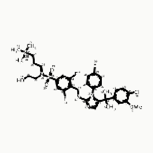 COc1cc(C(C)(C)c2cnc(SCc3c(F)cc(S(=O)(=O)N(CCO)CCC[N+](C)(C)C)cc3F)n2-c2ccc(F)cc2)ccc1Cl